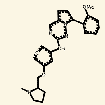 COc1ccccc1-c1ccc2cnc(Nc3cccc(OCC4CCCN4C)c3)nn12